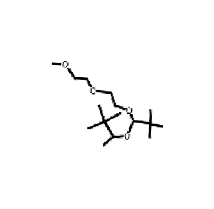 COCCOCCOC(OC(C)C(C)(C)C)C(C)(C)C